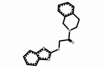 O=C(CSc1nc2ccccc2o1)N1CCc2ccccc2C1